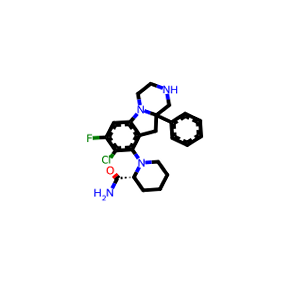 NC(=O)[C@H]1CCCCN1c1c(Cl)c(F)cc2c1CC1(c3ccccc3)CNCCN21